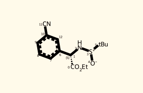 CCOC(=O)[C@@H](N[S+]([O-])C(C)(C)C)c1cccc(C#N)c1